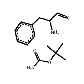 CC(C)(C)OC(N)=O.NC(C=O)Cc1ccccc1